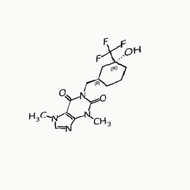 Cn1cnc2c1c(=O)n(C[C@@H]1CCC[C@](O)(C(F)(F)F)C1)c(=O)n2C